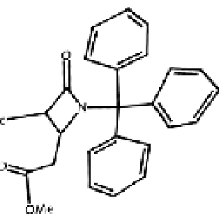 COC(=O)CC1C(C(C)=O)C(=O)N1C(c1ccccc1)(c1ccccc1)c1ccccc1